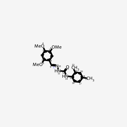 COc1cc(OC)c(OC)cc1/C=N/NC(=O)Nc1ccc(C)cc1C